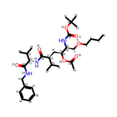 CCCCOC[C@H](NC(=O)OC(C)(C)C)[C@H](C[C@H](C(=O)N[C@H](C(=O)NCc1ccccc1)C(C)C)C(C)C)OC(C)=O